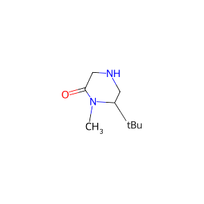 CN1C(=O)CNCC1C(C)(C)C